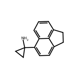 NC1(c2ccc3c4c(cccc24)CC3)CC1